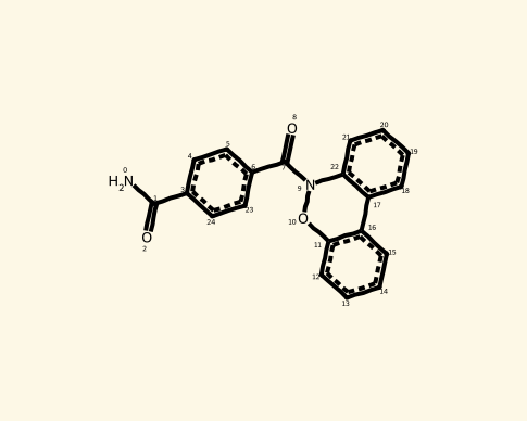 NC(=O)c1ccc(C(=O)N2Oc3ccccc3-c3ccccc32)cc1